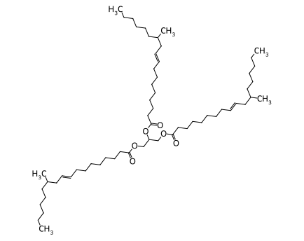 CCCCCCC(C)CC=CCCCCCCCC(=O)OCC(COC(=O)CCCCCCCC=CCC(C)CCCCCC)OC(=O)CCCCCCCC=CCC(C)CCCCCC